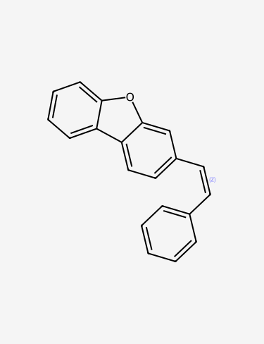 C(=C/c1ccc2c(c1)oc1ccccc12)/c1ccccc1